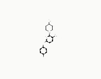 CC(=O)c1ccc(Oc2ccc([N+](=O)[O-])c(N3CCC(C(C)=O)CC3)n2)cc1